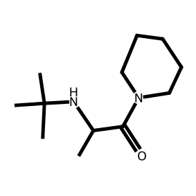 CC(NC(C)(C)C)C(=O)N1CCCCC1